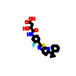 O=C(O)C[C@H](O)C(=O)Nc1ccc(-c2nc3ccc(C4(c5ccccc5)C=C4)nc3s2)c(F)c1